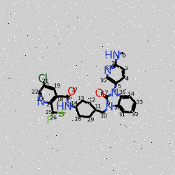 CNc1ccc(-n2c(=O)n(CC3CCC(NC(=O)c4cc(Cl)cnc4C(F)F)CC3)c3ccccc32)cn1